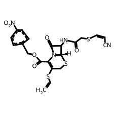 C=CSC1=C(C(=O)OCc2ccc([N+](=O)[O-])cc2)N2C(=O)C(NC(=O)CS/C=C\C#N)[C@@H]2SC1